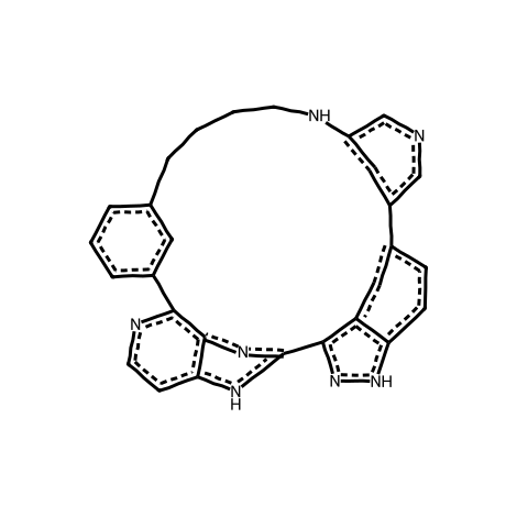 c1cc2cc(c1)-c1nccc3[nH]c(nc13)-c1n[nH]c3ccc(cc13)-c1cncc(c1)NCCCC2